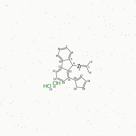 C[C](C)=[Zr][CH]1c2ccccc2-c2cccc(C3=CC=CC3)c21.Cl.Cl